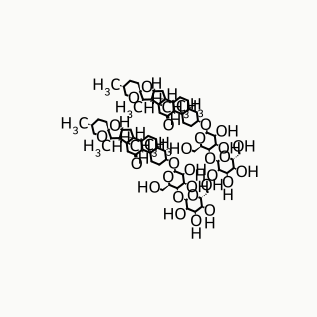 C[C@@H]1CC[C@@]2(OC1)O[C@H]1C[C@H]3[C@@H]4CC[C@H]5C[C@@H](O[C@@H]6O[C@H](CO)[C@@H](O[C@@H]7O[C@H](CO)[C@@H](O)[C@H](O)[C@H]7O)[C@H](O)[C@H]6O)CC[C@]5(C)[C@H]4C(=O)C[C@]3(C)[C@H]1[C@@H]2C.C[C@@H]1CC[C@@]2(OC1)O[C@H]1C[C@H]3[C@@H]4CC[C@H]5C[C@@H](O[C@@H]6O[C@H](CO)[C@@H](O[C@@H]7O[C@H](CO)[C@@H](O)[C@H](O)[C@H]7O)[C@H](O)[C@H]6O)CC[C@]5(C)[C@H]4C(=O)C[C@]3(C)[C@H]1[C@@H]2C